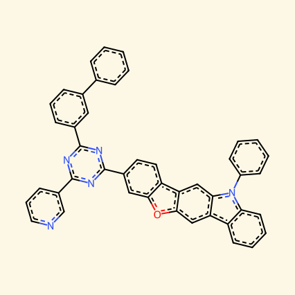 c1ccc(-c2cccc(-c3nc(-c4cccnc4)nc(-c4ccc5c(c4)oc4cc6c7ccccc7n(-c7ccccc7)c6cc45)n3)c2)cc1